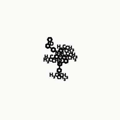 CC(C)(C)c1ccc(-c2ccc(N3c4ccc(C(C)(C)C)cc4B4c5cc(C(C)(C)C)ccc5N(c5ccc(-c6cccc7c6oc6ccccc67)cc5)c5cc(C(C)(C)C)cc3c54)c(-c3ccccc3)c2)cc1